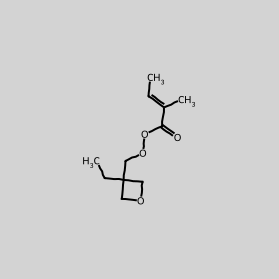 CC=C(C)C(=O)OOCC1(CC)COC1